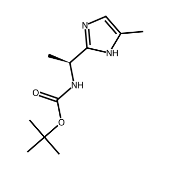 Cc1cnc([C@H](C)NC(=O)OC(C)(C)C)[nH]1